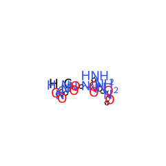 CCCN(OCc1ccc(NCCCN(OCc2ccc(N)cc2)C(=O)C2=Cc3ccc(C(=O)N4CC(Oc5ccccc5)C4)cc3N=C(N)C2)cc1)C(=O)C1=Cc2ccc(C(=O)N3CCOCC3)cc2N=C(N)C1